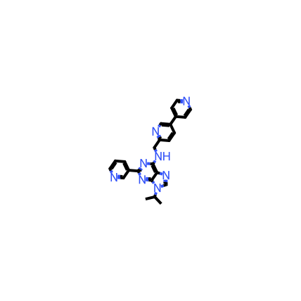 CC(C)n1cnc2c(NCc3ccc(-c4ccncc4)cn3)nc(-c3cccnc3)nc21